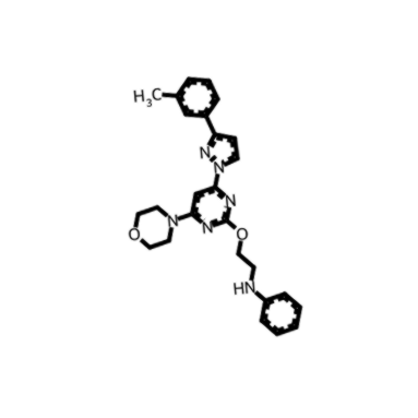 Cc1cccc(-c2ccn(-c3cc(N4CCOCC4)nc(OCCNc4ccccc4)n3)n2)c1